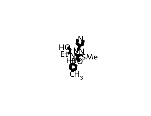 CCC(CO)Nc1nc(-c2ccncc2)nc(SC)c1C(=O)Nc1ccc(C)cc1